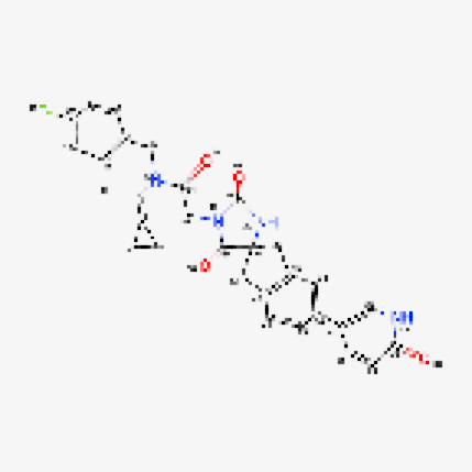 C[C@@H](C1CC1)N(Cc1ccc(F)cc1)C(=O)CN1C(=O)NC2(Cc3ccc(-c4ccc(=O)[nH]c4)cc3C2)C1=O